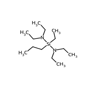 CCC[Si](CC)(N(CC)CC)N(CC)CC